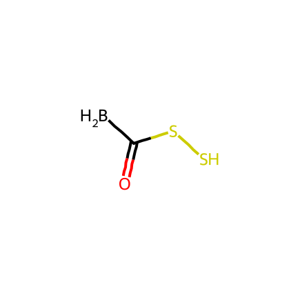 BC(=O)SS